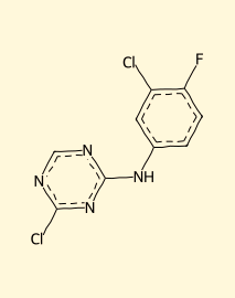 Fc1ccc(Nc2ncnc(Cl)n2)cc1Cl